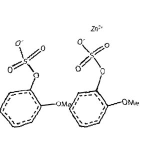 COc1ccccc1OS(=O)(=O)[O-].COc1ccccc1OS(=O)(=O)[O-].[Zn+2]